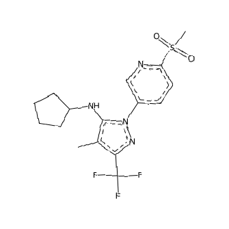 Cc1c(C(F)(F)F)nn(-c2ccc(S(C)(=O)=O)nc2)c1NC1CCCC1